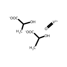 CC(O)C(=O)[O-].CC(O)C(=O)[O-].[O]=[V+2]